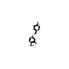 Nc1ccc(OCc2ccc(F)cc2)cc1F